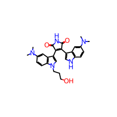 CN(C)c1ccc2[nH]cc(C3=C(c4cn(CCCO)c5ccc(N(C)C)cc45)C(=O)NC3=O)c2c1